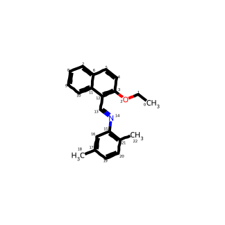 CCOc1ccc2ccccc2c1/C=N/c1cc(C)ccc1C